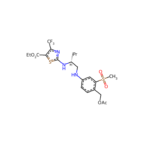 CCOC(=O)c1sc(N[C@@H](CNc2ccc(COC(C)=O)c(S(C)(=O)=O)c2)C(C)C)nc1C(F)(F)F